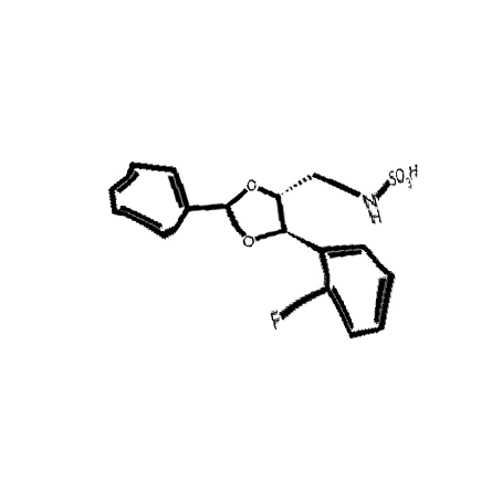 O=S(=O)(O)NC[C@H]1OC(c2ccccc2)O[C@@H]1c1ccccc1F